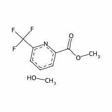 CO.COC(=O)c1cccc(C(F)(F)F)n1